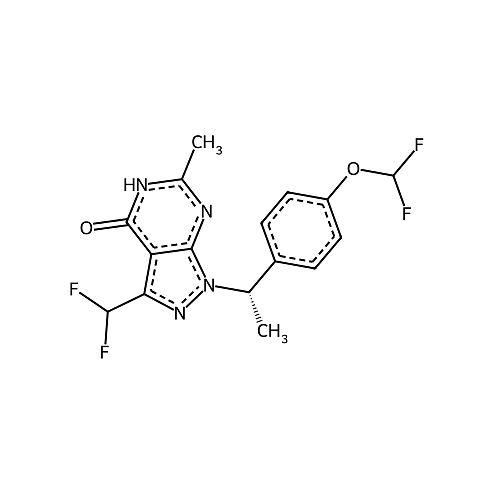 Cc1nc2c(c(C(F)F)nn2[C@@H](C)c2ccc(OC(F)F)cc2)c(=O)[nH]1